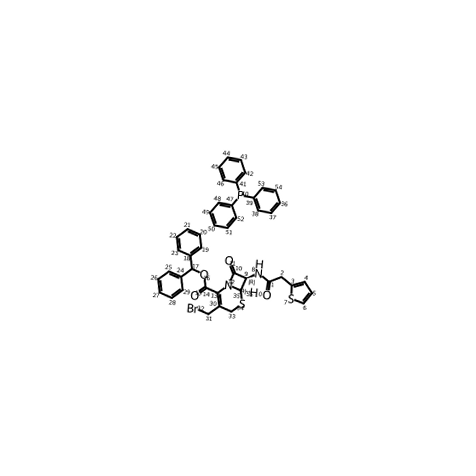 O=C(Cc1cccs1)N[C@@H]1C(=O)N2C(C(=O)OC(c3ccccc3)c3ccccc3)=C(CBr)CS[C@H]12.c1ccc(P(c2ccccc2)c2ccccc2)cc1